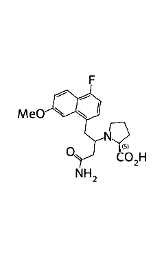 COc1ccc2c(F)ccc(CC(CC(N)=O)N3CCC[C@H]3C(=O)O)c2c1